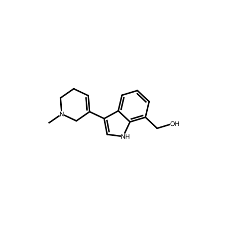 CN1CCC=C(c2c[nH]c3c(CO)cccc23)C1